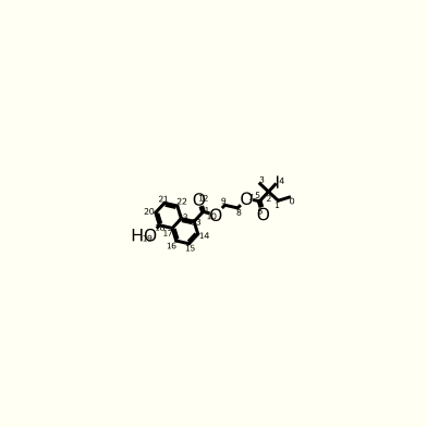 CCC(C)(I)C(=O)OCCOC(=O)c1cccc2c(O)cccc12